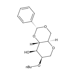 CCCCO[C@@H]1CO[C@@H]2CO[C@@H](c3ccccc3)O[C@H]2[C@@H]1O